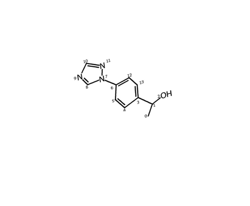 CC(O)c1ccc(-n2cncn2)cc1